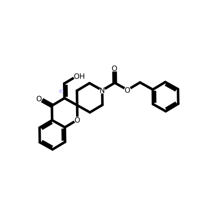 O=C1/C(=C/O)C2(CCN(C(=O)OCc3ccccc3)CC2)Oc2ccccc21